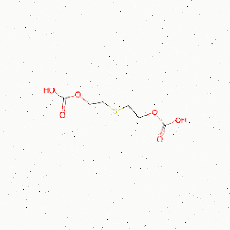 O=C(O)OCCSCCOC(=O)O